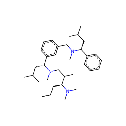 CCC[C@@H](C(C)CN(C)[C@H](CC(C)C)c1cccc(CN(C)[C@@H](CC(C)C)c2ccccc2)c1)N(C)C